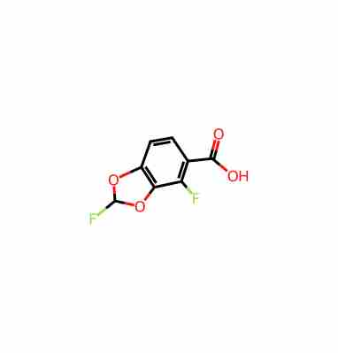 O=C(O)c1ccc2c(c1F)OC(F)O2